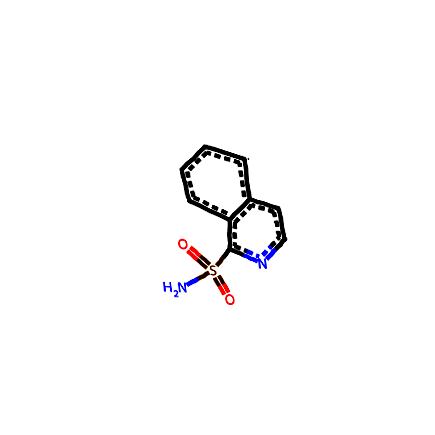 NS(=O)(=O)c1nccc2[c]cccc12